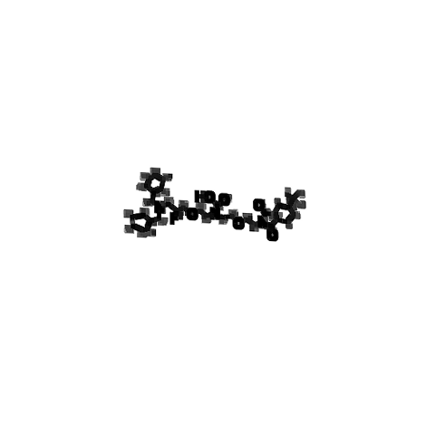 CC(C)(C)c1ccc2c(c1)C(=O)N(CCOCCN(CCOCC(F)CN(Cc1ccccc1)Cc1ccccc1)C(=O)O)C2=O